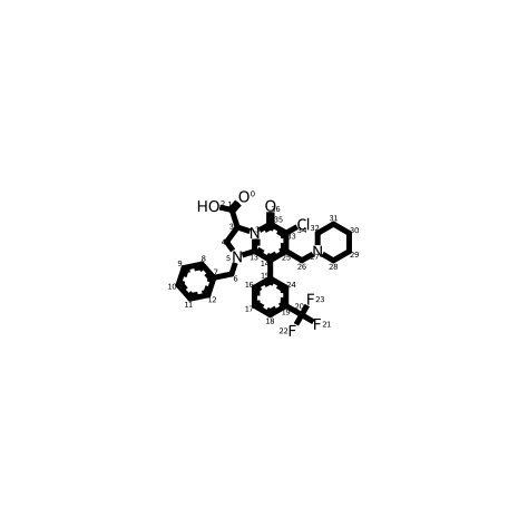 O=C(O)C1CN(Cc2ccccc2)c2c(-c3cccc(C(F)(F)F)c3)c(CN3CCCCC3)c(Cl)c(=O)n21